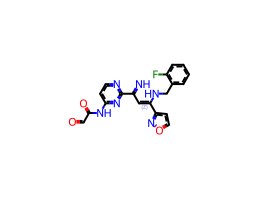 N=C(/C=C(\NCc1ccccc1F)c1ccon1)c1nccc(NC(=O)C=O)n1